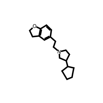 c1cc2c(cc1CCN1CCC(C3CCCC3)C1)CCO2